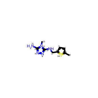 Cc1ccc(CNc2nnc(N)n2C)s1